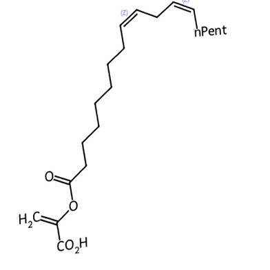 C=C(OC(=O)CCCCCCC/C=C\C/C=C\CCCCC)C(=O)O